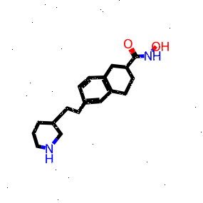 O=C(NO)C1CCc2cc(CCC3CCCNC3)ccc2C1